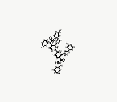 NC(=O)C(c1cccnc1)c1ccc(-c2ccc(C(=O)NCc3cccnc3)c(NCCc3cccc(F)c3)n2)nc1NCCc1cccc(F)c1